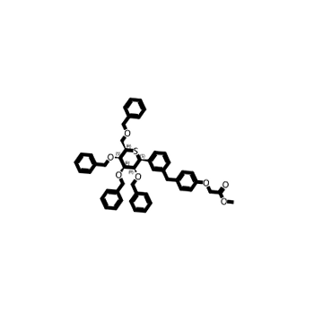 COC(=O)COc1ccc(Cc2cccc([C@@H]3S[C@H](COCc4ccccc4)[C@@H](OCc4ccccc4)[C@H](OCc4ccccc4)[C@H]3OCc3ccccc3)c2)cc1